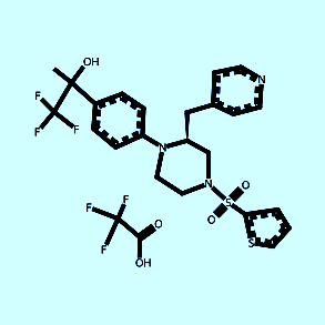 CC(O)(c1ccc(N2CCN(S(=O)(=O)c3cccs3)C[C@@H]2Cc2ccncc2)cc1)C(F)(F)F.O=C(O)C(F)(F)F